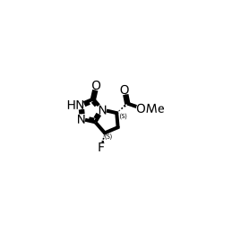 COC(=O)[C@@H]1C[C@H](F)c2n[nH]c(=O)n21